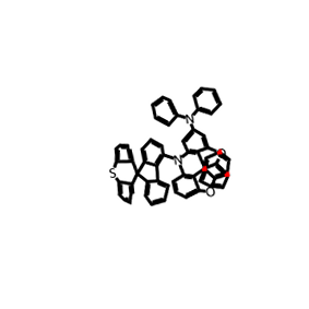 c1ccc(N(c2ccccc2)c2cc(N(c3cccc4c3-c3ccccc3C43c4ccccc4Sc4ccccc43)c3cccc4oc5ccccc5c34)c3c(c2)oc2ccccc23)cc1